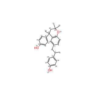 CC(Cc1ccc2c(c1)C(C)(c1ccc(O)cc1)CC(C)(C)O2)c1ccc(O)cc1